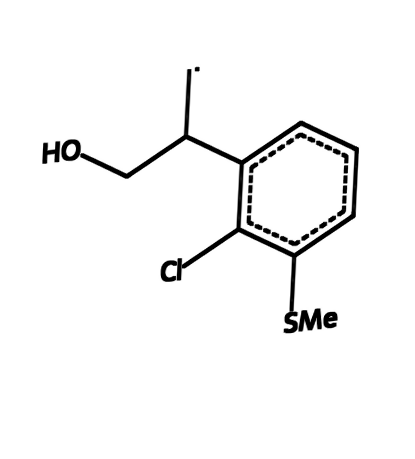 [CH2]C(CO)c1cccc(SC)c1Cl